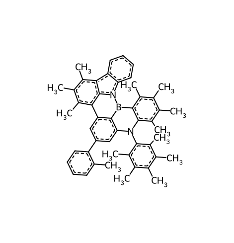 Cc1ccccc1-c1cc2c3c(c1)N(c1c(C)c(C)c(C)c(C)c1C)c1c(C)c(C)c(C)c(C)c1B3n1c3ccccc3c3c(C)c(C)c(C)c-2c31